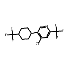 FC(F)(F)c1cc(Cl)c(C2CCC(C(F)(F)F)CC2)cn1